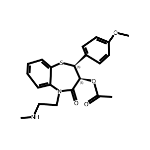 CNCCN1C(=O)[C@H](OC(C)=O)[C@H](c2ccc(OC)cc2)Sc2ccccc21